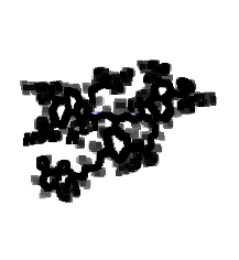 CC1(C)C(/C=C/C(=C/C=C2/N(CCCS(=O)(=O)O)c3ccc4c(S(=O)(=O)O)cc(S(=O)(=O)O)cc4c3C2(C)C)c2cccc(CCCCC(=O)ON3C(=O)CCC3=O)c2)=[N+](CCC23S[SH]2(=O)S3)c2ccc3c(S(=O)(=O)O)cc(S(=O)(=O)O)cc3c21